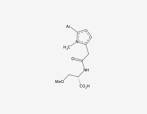 COC[C@H](NC(=O)Cc1ccc(C(C)=O)n1C)C(=O)O